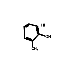 Cc1ccccc1O.I